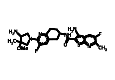 COC1(C)CN(c2nc3c(cc2F)CC(NC(=O)c2sc4nc(C)c(F)cc4c2N)CC3)CC1N